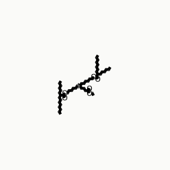 CCCCCCCCC(CCCCCC)C(=O)OCCCCCCN(CCCCCCOC(=O)C(CCCCCC)CCCCCCCC)CCCC(=O)OCC